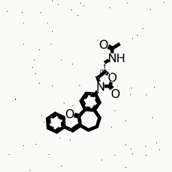 CC(=O)NC[C@H]1CN(c2ccc3c(c2)CCCC(=Cc2ccccc2)C3=O)C(=O)O1